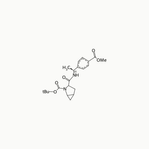 COC(=O)c1ccc([C@H](C)NC(=O)C2CC3CC3N2C(=O)OC(C)(C)C)cc1